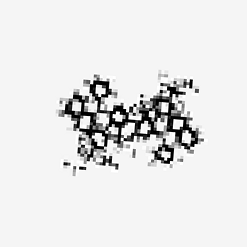 CC(C)(C)c1ccc2c(c1)C(C)(C)c1c(-c3ccc(N(c4ccccc4)c4cccc5ccccc45)c4c3C(C)(C)c3cc(C(C)(C)C)ccc3-4)ccc(N(c3ccccc3)c3cccc4ccccc34)c1-2